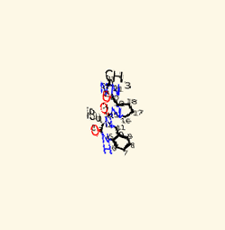 CC[C@H](C)[C@H]1C(=O)Nc2ccccc2CN1C(=O)N1CCCC1c1nc(C)no1